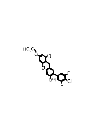 O=C(O)COc1cc(Cl)c(Cc2ccc(O)c(-c3cc(F)c(Cl)c(F)c3)c2)c(Cl)c1